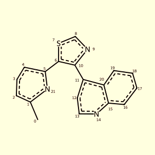 Cc1cccc(-c2scnc2-c2ccnc3ccccc23)n1